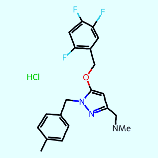 CNCc1cc(OCc2cc(F)c(F)cc2F)n(Cc2ccc(C)cc2)n1.Cl